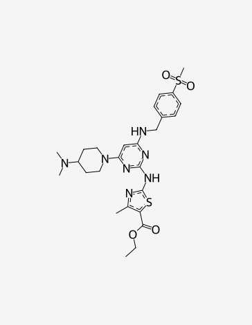 CCOC(=O)c1sc(Nc2nc(NCc3ccc(S(C)(=O)=O)cc3)cc(N3CCC(N(C)C)CC3)n2)nc1C